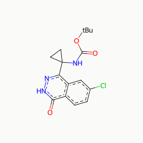 CC(C)(C)OC(=O)NC1(c2n[nH]c(=O)c3ccc(Cl)cc23)CC1